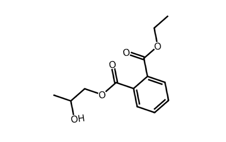 CCOC(=O)c1ccccc1C(=O)OCC(C)O